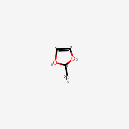 [2H]C1OC=CO1